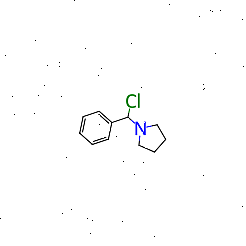 ClC(c1ccccc1)N1CCCC1